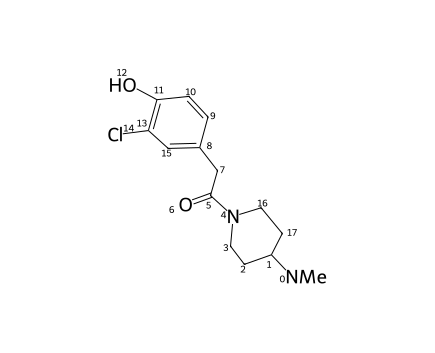 CNC1CCN(C(=O)Cc2ccc(O)c(Cl)c2)CC1